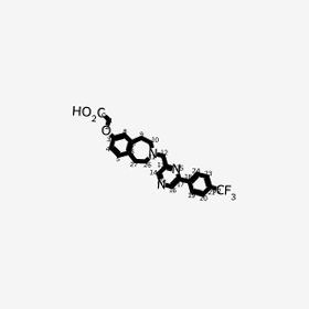 O=C(O)COc1ccc2c(c1)CCN(Cc1cncc(-c3ccc(C(F)(F)F)cc3)n1)CC2